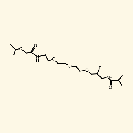 CC(C)OCC(=O)NCCOCCOCCOCC(F)CNC(=O)C(C)C